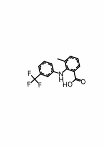 Cc1cccc(C(=O)O)c1Nc1cccc(C(F)(F)F)c1